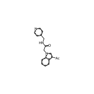 CC(=O)c1cn(CC(=O)NCc2ccncc2)c2ccccc12